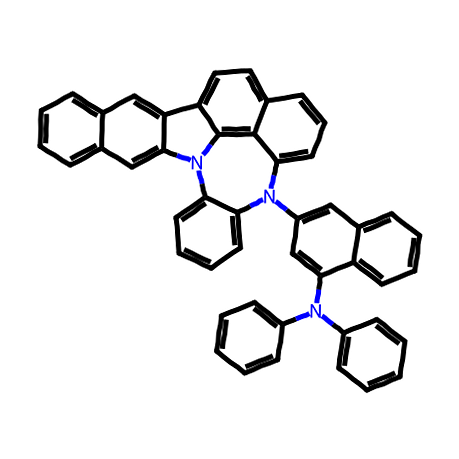 c1ccc(N(c2ccccc2)c2cc(-n3c4cccc5ccc6c7cc8ccccc8cc7n(c7ccccc73)c6c54)cc3ccccc23)cc1